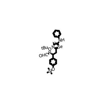 CC(C)(C)ON(C=O)C(Cc1nnc(Nc2ccccc2)[se]1)c1ccc(O[Si](C)(C)C)cc1